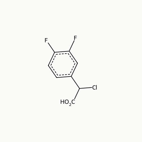 O=C(O)C(Cl)c1ccc(F)c(F)c1